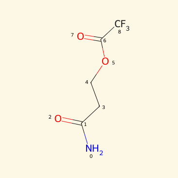 NC(=O)CCOC(=O)C(F)(F)F